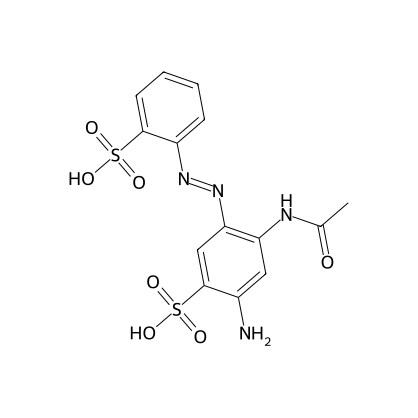 CC(=O)Nc1cc(N)c(S(=O)(=O)O)cc1N=Nc1ccccc1S(=O)(=O)O